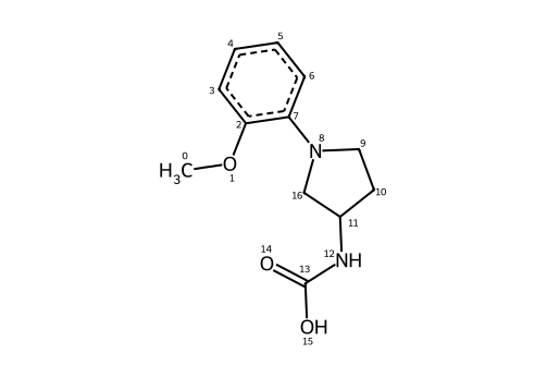 COc1ccccc1N1CCC(NC(=O)O)C1